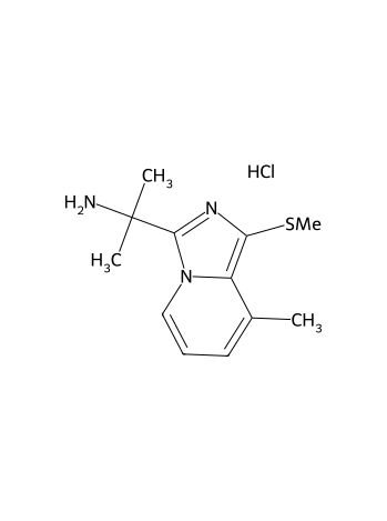 CSc1nc(C(C)(C)N)n2cccc(C)c12.Cl